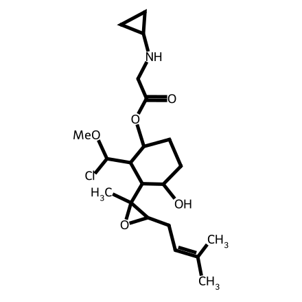 COC(Cl)C1C(OC(=O)CNC2CC2)CCC(O)C1C1(C)OC1CC=C(C)C